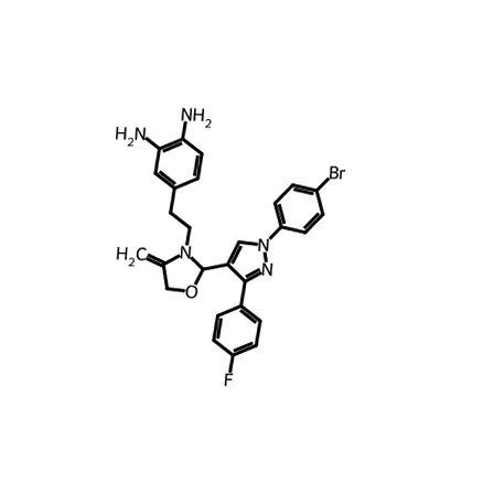 C=C1COC(c2cn(-c3ccc(Br)cc3)nc2-c2ccc(F)cc2)N1CCc1ccc(N)c(N)c1